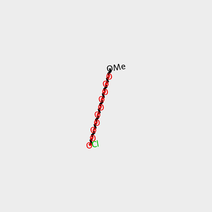 COCCOCCOCCOCCOCCOCCOCCOCCOCCOCC(=O)Cl